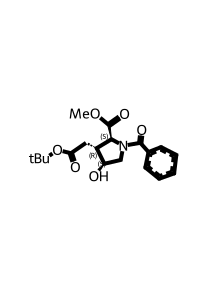 COC(=O)[C@@H]1[C@@H](CC(=O)OC(C)(C)C)[C@H](O)CN1C(=O)c1ccccc1